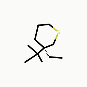 CC[C@]1(C(C)(C)C)CCCSC1